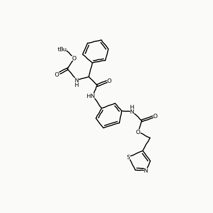 CC(C)(C)OC(=O)NC(C(=O)Nc1cccc(NC(=O)OCc2cncs2)c1)c1ccccc1